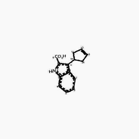 O=C(O)c1[nH]c2ccccc2c1C1CC=CC1